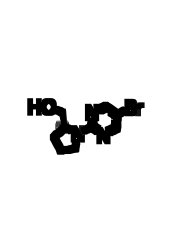 OC[C@@H]1CCCN1c1ncc(Br)cn1